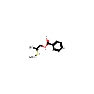 CSSC(COC(=O)c1ccccc1)C(C)C